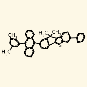 Cc1cc(C)cc(-c2c3ccccc3c(-c3ccc4c(c3)C(C)(C)c3c-4sc4cc(-c5ccccc5)ccc34)c3ccccc23)c1